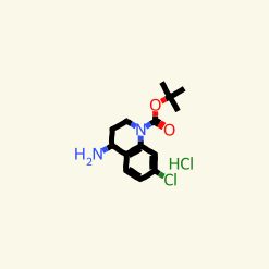 CC(C)(C)OC(=O)N1CCC(N)c2ccc(Cl)cc21.Cl